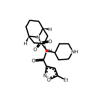 CCc1cc(C(=O)N[C@H]2C[C@H]3CCC[C@@H](C2)N3S(=O)(=O)CC2CCNCC2)no1